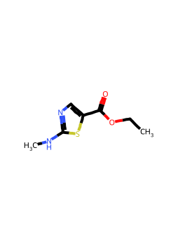 CCOC(=O)c1cnc(NC)s1